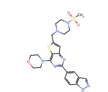 CS(=O)(=O)N1CCN(Cc2cc3nc(-c4ccc5[nH]ncc5c4)nc(N4CCOCC4)c3s2)CC1